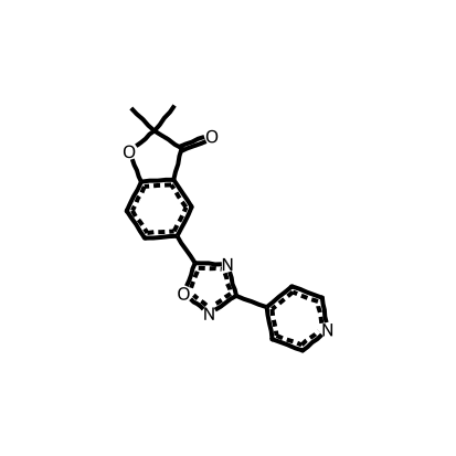 CC1(C)Oc2ccc(-c3nc(-c4ccncc4)no3)cc2C1=O